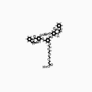 COC(=O)CCOCCOCCOCCOc1cc(COc2cc3c(cc2OC)C(=O)N2c4ccccc4C[C@H]2CN3)cc(COc2cc3c(cc2OC)C(=O)N2c4ccccc4C[C@H]2CN3)c1